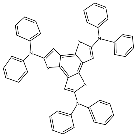 c1ccc(N(c2ccccc2)c2cc3c(s2)c2cc(N(c4ccccc4)c4ccccc4)sc2c2cc(N(c4ccccc4)c4ccccc4)sc32)cc1